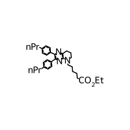 CCCc1ccc(-c2nc3c(nc2-c2ccc(CCC)cc2)N(CCCCCC(=O)OCC)CCC3)cc1